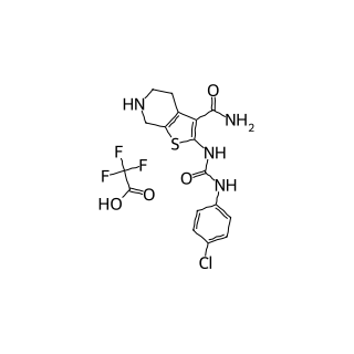 NC(=O)c1c(NC(=O)Nc2ccc(Cl)cc2)sc2c1CCNC2.O=C(O)C(F)(F)F